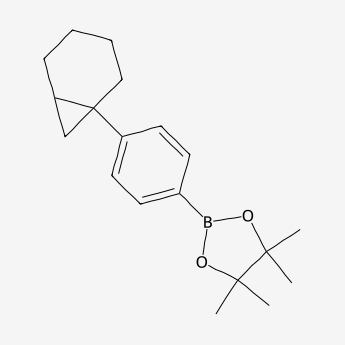 CC1(C)OB(c2ccc(C34CCCCC3C4)cc2)OC1(C)C